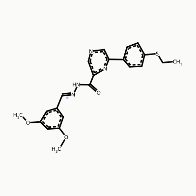 CCSc1ccc(-c2cncc(C(=O)N/N=C/c3cc(OC)cc(OC)c3)n2)cc1